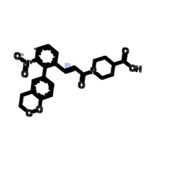 O=C(O)C1CCN(C(=O)/C=C/c2cc[c]c([N+](=O)[O-])c2-c2ccc3c(c2)CCOO3)CC1